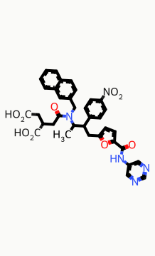 CC(C(Cc1ccc(C(=O)Nc2cncnc2)o1)c1ccc([N+](=O)[O-])cc1)N(Cc1ccc2ccccc2c1)C(=O)CC(CC(=O)O)C(=O)O